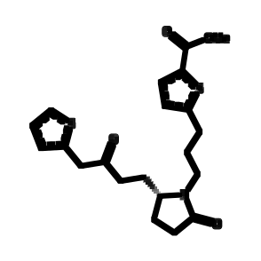 COC(=O)c1ccc(CCCN2C(=O)CC[C@@H]2CCC(=O)Cc2cccs2)s1